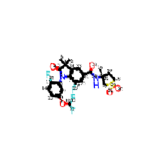 CC1(C)C(=O)N(c2cc(OC(F)F)ccc2F)c2c(F)cc(C(=O)N[C@]3(C)CCS(=O)(=O)C3)cc21